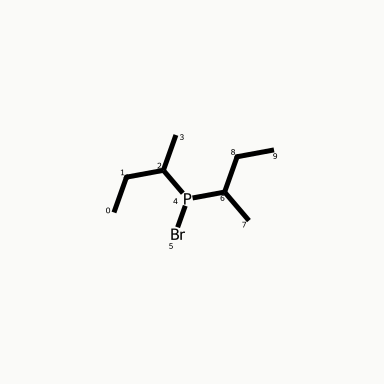 CCC(C)P(Br)C(C)CC